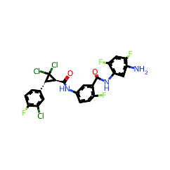 Nc1cc(NC(=O)c2cc(NC(=O)[C@H]3[C@H](c4ccc(F)c(Cl)c4)C3(Cl)Cl)ccc2F)c(F)cc1F